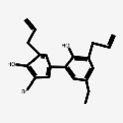 C=CCc1cc(-c2cc(CC)cc(CC=C)c2O)cc(Br)c1O